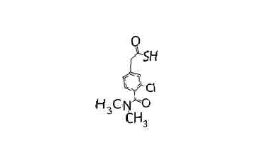 CN(C)C(=O)c1ccc(CC(=O)S)cc1Cl